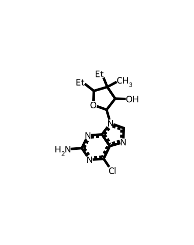 CCC1OC(n2cnc3c(Cl)nc(N)nc32)C(O)C1(C)CC